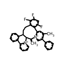 C=C1C2C(CCc3c(F)c(F)cc(F)c3-c3cc(C)c(-c4ccccc4)c[n+]31)c1ccccc1-c1cccc[n+]12